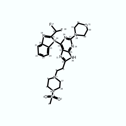 CS(=O)(=O)N1CCN(CCc2nc3c(-n4c(C(F)F)nc5ccccc54)nc(N4CCOCC4)nc3[nH]2)CC1